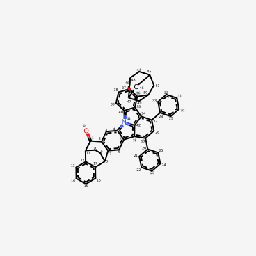 O=C1c2cc3c(cc2C2CCC1c1ccccc12)c1c(-c2ccccc2)cc(-c2ccccc2)c2c4c5c(ccc4n3c12)C1CC2CC(C1)CC5C2